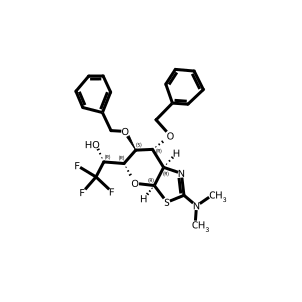 CN(C)C1=N[C@@H]2[C@@H](OCc3ccccc3)[C@H](OCc3ccccc3)[C@@H]([C@@H](O)C(F)(F)F)O[C@@H]2S1